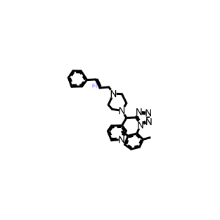 Cc1cccc(C)c1-n1nnnc1C(c1cccnc1)N1CCN(C/C=C/c2ccccc2)CC1